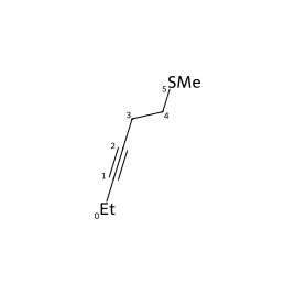 CCC#CCCSC